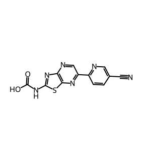 N#Cc1ccc(-c2cnc3nc(NC(=O)O)sc3n2)nc1